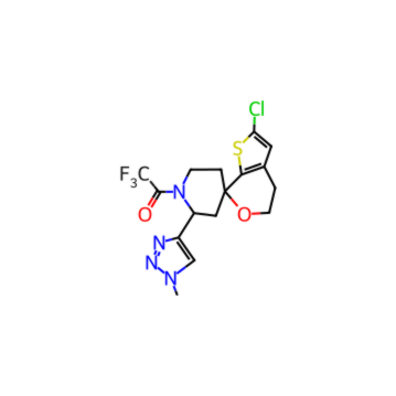 Cn1cc(C2CC3(CCN2C(=O)C(F)(F)F)OCCc2cc(Cl)sc23)nn1